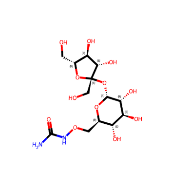 NC(=O)NOC[C@H]1O[C@H](O[C@]2(CO)O[C@H](CO)[C@@H](O)[C@@H]2O)[C@H](O)[C@@H](O)[C@@H]1O